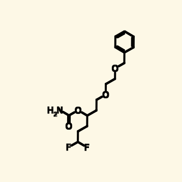 NC(=O)OC(CCOCCOCc1ccccc1)CCC(F)F